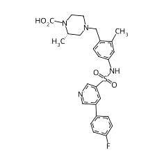 Cc1cc(NS(=O)(=O)c2cncc(-c3ccc(F)cc3)c2)ccc1CN1CCN(C(=O)O)[C@@H](C)C1